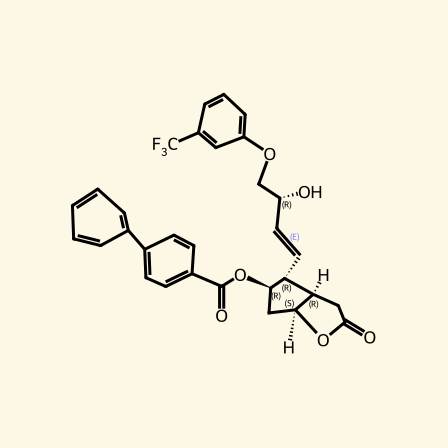 O=C1C[C@@H]2[C@@H](/C=C/[C@@H](O)COc3cccc(C(F)(F)F)c3)[C@H](OC(=O)c3ccc(-c4ccccc4)cc3)C[C@@H]2O1